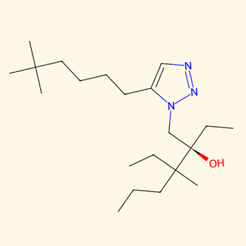 CCCC(C)(CC)[C@@](O)(CC)Cn1nncc1CCCCC(C)(C)C